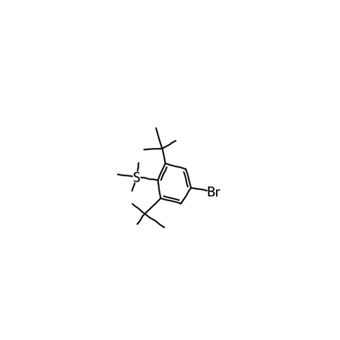 CC(C)(C)c1cc(Br)cc(C(C)(C)C)c1S(C)(C)C